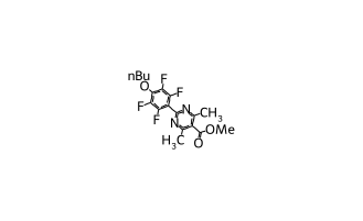 CCCCOc1c(F)c(F)c(-c2nc(C)c(C(=O)OC)c(C)n2)c(F)c1F